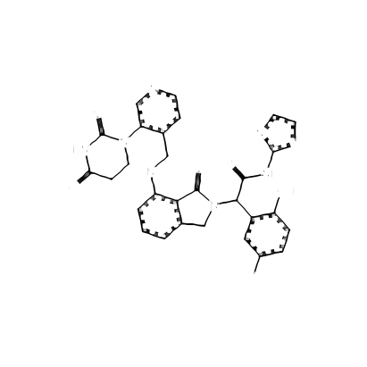 O=C1CCN(c2cnccc2CNc2cccc3c2C(=O)N(C(C(=O)Nc2nccs2)c2cc(F)ccc2O)C3)C(=O)N1